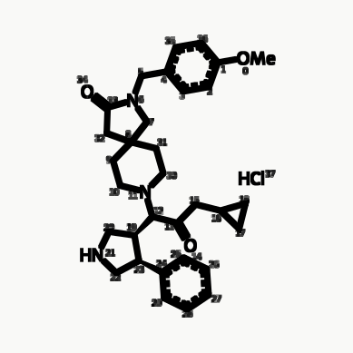 COc1ccc(CN2CC3(CCN(C(C(=O)CC4CC4)[C@@H]4CNC[C@@H]4c4ccccc4)CC3)CC2=O)cc1.Cl